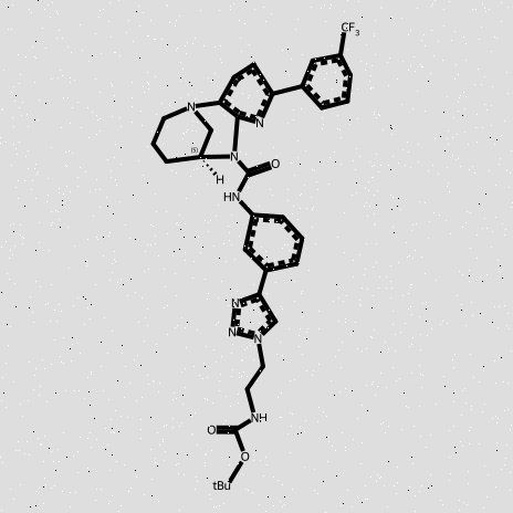 CC(C)(C)OC(=O)NCCn1cc(-c2cccc(NC(=O)N3c4nc(-c5cccc(C(F)(F)F)c5)ccc4N4CCC[C@H]3C4)c2)nn1